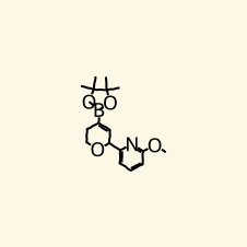 COc1cccc(C2C=C(B3OC(C)(C)C(C)(C)O3)CCO2)n1